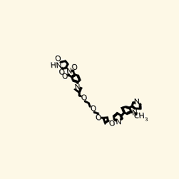 Cn1c2ccncc2c2ccc(-c3ccc(OC4CC(OCCOCCCOCC5CN(c6ccc7c(c6)C(=O)N(C6CCC(=O)NC6=O)C7=O)C5)C4)nc3)cc21